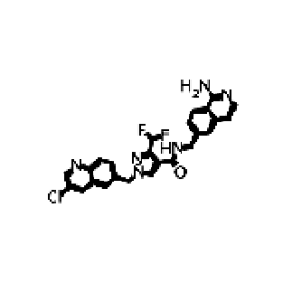 Nc1nccc2cc(CNC(=O)c3cn(Cc4ccc5ncc(Cl)cc5c4)nc3C(F)F)ccc12